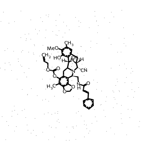 C=CCOC(=O)Oc1c(C)c2c(c3c1CC1[C@@H]4c5c(cc(C)c(OC)c5O)C[C@H]([C@H](C#N)N1[C@H]3CNC(=O)/C=C/c1ccccc1)N4C)OCO2